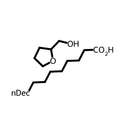 CCCCCCCCCCCCCCCCCC(=O)O.OCC1CCCO1